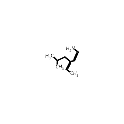 C/C=C(\C=C/N)CC(C)C